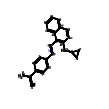 N=C(N)c1ccc(/N=N/c2c(NC3CC3)ncc3ccccc23)cc1